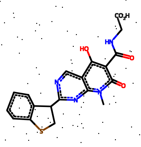 Cn1c(=O)c(C(=O)NCC(=O)O)c(O)c2cnc(C3CSc4ccccc43)nc21